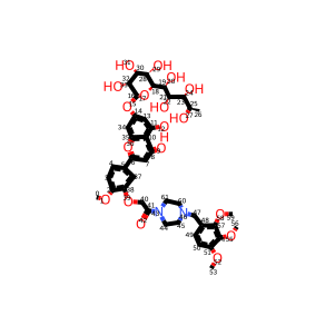 COc1ccc(-c2cc(=O)c3c(O)cc(OC4O[C@H]([C@H](O)[C@@H](O)[C@H](O)[C@@H](C)O)[C@@H](O)[C@H](O)[C@H]4O)cc3o2)cc1OCC(=O)N1CCN(Cc2ccc(OC)c(OC)c2OC)CC1